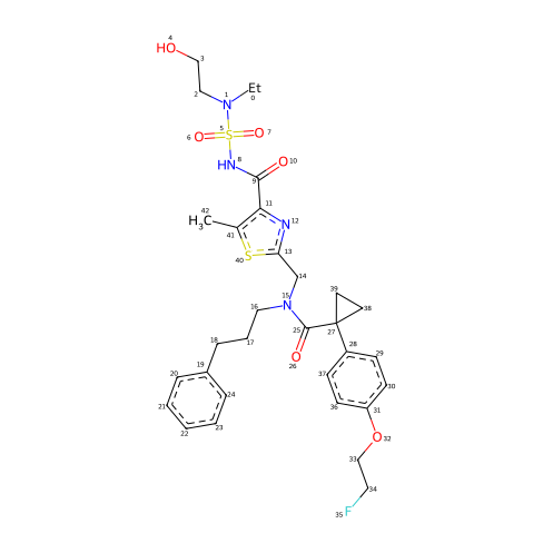 CCN(CCO)S(=O)(=O)NC(=O)c1nc(CN(CCCc2ccccc2)C(=O)C2(c3ccc(OCCF)cc3)CC2)sc1C